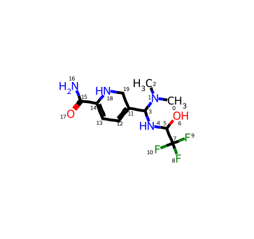 CN(C)C(NC(O)C(F)(F)F)C1=CC=C(C(N)=O)NC1